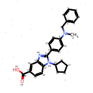 CN(Cc1ccccc1)c1ccc(-c2nc3cc(C(=O)O)ccc3n2C2CCCC2)cc1